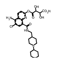 Nc1c(Cl)cc(C(=O)NCC2CCN(C3CCOCC3)CC2)c2nc(OC(=O)C(O)C(O)C(=O)O)ccc12